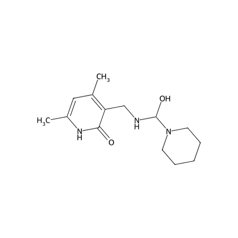 Cc1cc(C)c(CNC(O)N2CCCCC2)c(=O)[nH]1